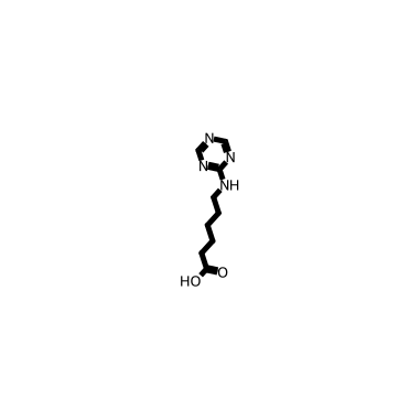 O=C(O)CCCCCNc1ncncn1